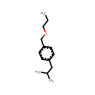 CCCOCc1ccc(CC(C)C)cc1